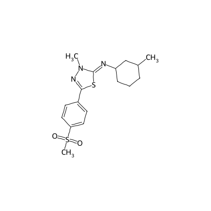 CC1CCCC(/N=c2\sc(-c3ccc(S(C)(=O)=O)cc3)nn2C)C1